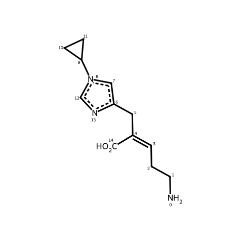 NCC/C=C(/Cc1cn(C2CC2)cn1)C(=O)O